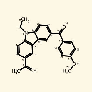 CCn1c2ccc(C(C)=O)cc2c2cc(C(=O)c3ccc(OC)cc3)ccc21